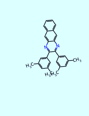 Cc1cc(C)cc(-c2nc3cc4ccccc4cc3nc2-c2cc(C)cc(C)c2)c1